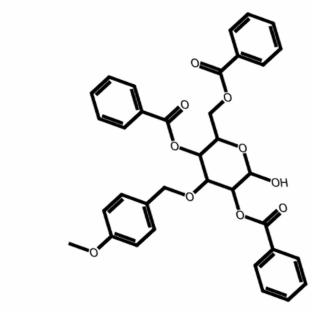 COc1ccc(COC2C(OC(=O)c3ccccc3)C(O)OC(COC(=O)c3ccccc3)C2OC(=O)c2ccccc2)cc1